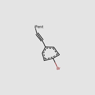 CCCC(C)C#Cc1ccc(Br)cc1